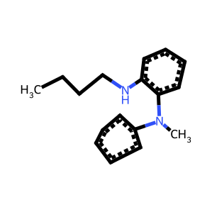 CCCCNc1ccccc1N(C)c1ccccc1